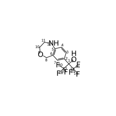 OC(c1ccc2c(c1)COCCN2)(C(F)(F)F)C(F)(F)F